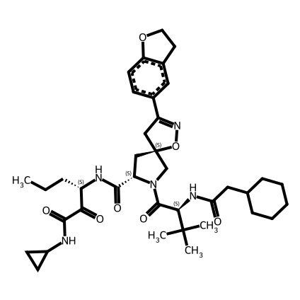 CCC[C@H](NC(=O)[C@@H]1C[C@]2(CC(c3ccc4c(c3)CCO4)=NO2)CN1C(=O)[C@@H](NC(=O)CC1CCCCC1)C(C)(C)C)C(=O)C(=O)NC1CC1